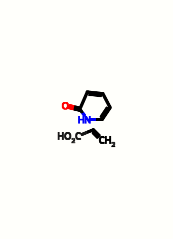 C=CC(=O)O.O=c1cccc[nH]1